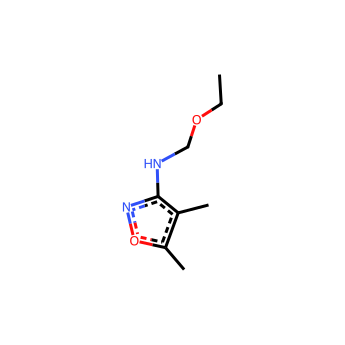 CCOCNc1noc(C)c1C